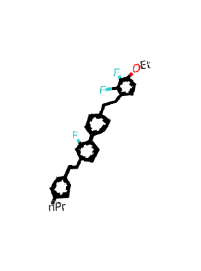 CCCc1ccc(CCc2ccc(-c3ccc(CCc4ccc(OCC)c(F)c4F)cc3)c(F)c2)cc1